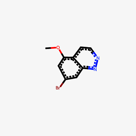 COc1cc(Br)cc2nnccc12